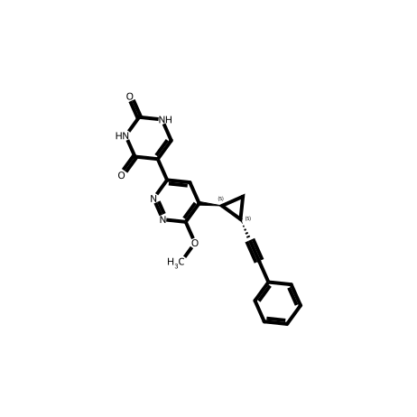 COc1nnc(-c2c[nH]c(=O)[nH]c2=O)cc1[C@H]1C[C@@H]1C#Cc1ccccc1